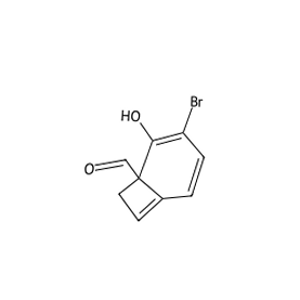 O=CC12CC=C1C=CC(Br)=C2O